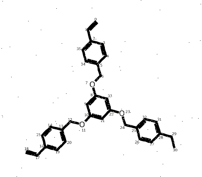 C=Cc1ccc(COc2cc(OCc3ccc(C=C)cc3)cc(OCc3ccc(CC)cc3)c2)cc1